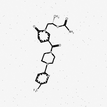 C[C@@H](Cn1cc(C(=O)N2CCN(c3ccc(C(F)(F)F)cn3)CC2)ccc1=O)OC(N)=O